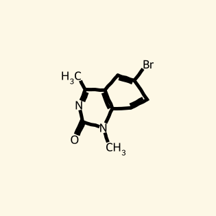 Cc1nc(=O)n(C)c2ccc(Br)cc12